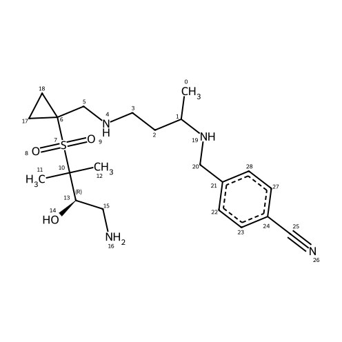 CC(CCNCC1(S(=O)(=O)C(C)(C)[C@H](O)CN)CC1)NCc1ccc(C#N)cc1